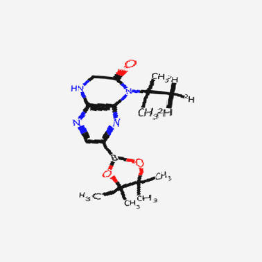 [2H]C([2H])([2H])C(C)(C)N1C(=O)CNc2ncc(B3OC(C)(C)C(C)(C)O3)nc21